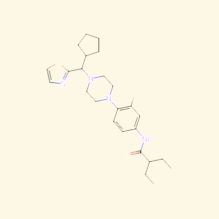 CCC(CC)C(=O)Nc1ccc(N2CCN(C(c3ncco3)C3CCCC3)CC2)c(F)c1